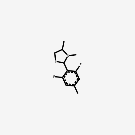 Cc1cc(F)c(C2SCC(C)N2C)c(F)c1